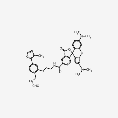 Cc1ncsc1-c1ccc(CNC=O)c(OCCNC(=O)c2ccc3c(c2)C(=O)OC32c3ccc(N(C)C)cc3Oc3cc(N(C)C)ccc32)c1